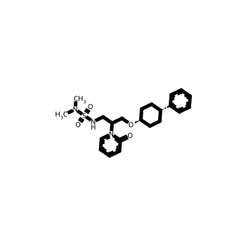 CN(C)S(=O)(=O)NCC(CO[C@H]1CC[C@@H](c2ccccc2)CC1)n1ccccc1=O